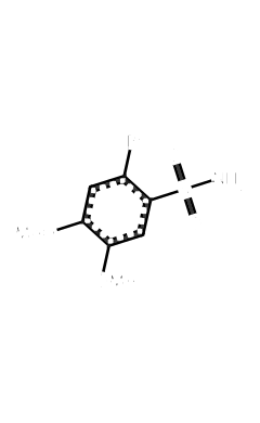 COc1cc(Br)c(S(N)(=O)=O)cc1OC